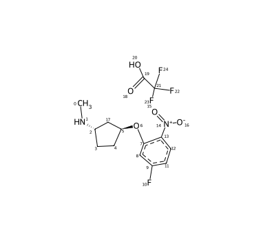 CN[C@H]1CC[C@H](Oc2cc(F)ccc2[N+](=O)[O-])C1.O=C(O)C(F)(F)F